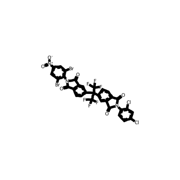 O=C1c2ccc(C(c3ccc4c(c3)C(=O)N(c3c(Br)cc([N+](=O)[O-])cc3Br)C4=O)(C(F)(F)F)C(F)(F)F)cc2C(=O)N1c1ccc(Cl)cc1Cl